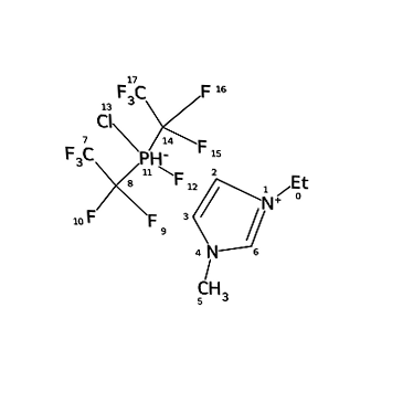 CC[n+]1ccn(C)c1.FC(F)(F)C(F)(F)[PH-](F)(Cl)C(F)(F)C(F)(F)F